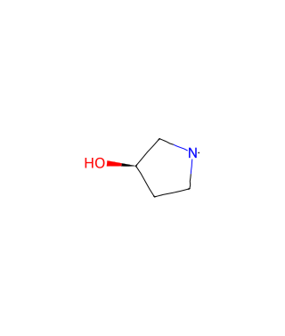 O[C@@H]1CC[N]C1